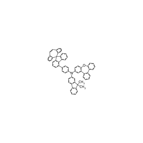 CC1(C)c2ccccc2-c2ccc(N(c3ccc(-c4cccc5c4-c4ccccc4C54c5ccccc5C=Cc5ccccc54)cc3)c3ccc4c(c3)-c3ccccc3-c3ccccc3O4)cc21